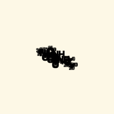 Cc1oc(CNc2c(Nc3cccc(C(=O)N4CCC4)c3O)c(=O)c2=O)cc1C(C)C